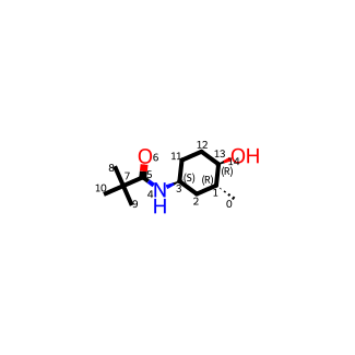 C[C@@H]1C[C@@H](NC(=O)C(C)(C)C)CC[C@H]1O